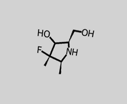 C[C@@H]1N[C@H](CO)C(O)[C@@]1(C)F